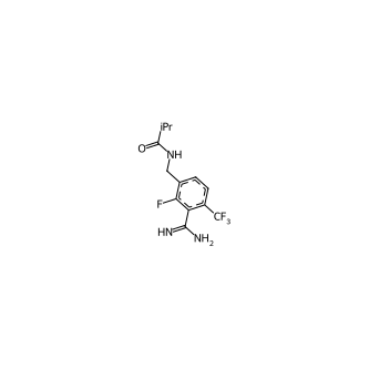 CC(C)C(=O)NCc1ccc(C(F)(F)F)c(C(=N)N)c1F